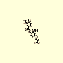 C=C(C)C=COc1ccc(/C=C/C(=O)c2ccc(Cl)c(Cl)c2)c(O)c1